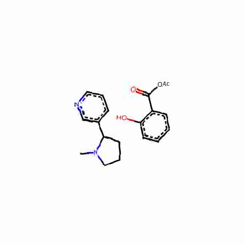 CC(=O)OC(=O)c1ccccc1O.CN1CCCC1c1cccnc1